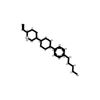 C=CC1CCC(C2CCC(c3ccc(CCCCC)cc3)CC2)CO1